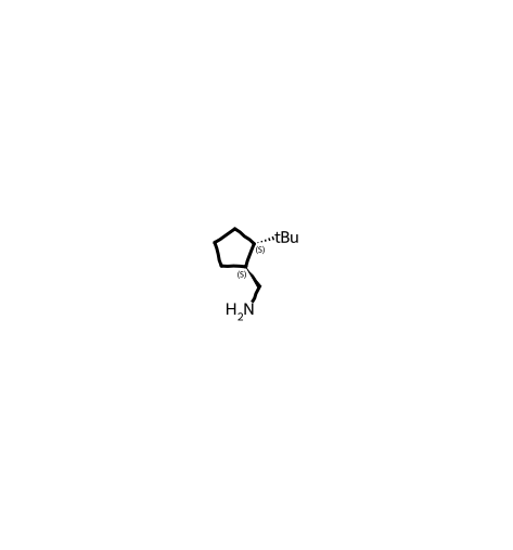 CC(C)(C)[C@H]1CCC[C@@H]1CN